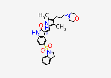 Cc1[nH]c(/C=C2\C(=O)Nc3ccc(S(=O)(=O)N4CCc5ccccc54)cc32)c(C)c1CCCN1CCOCC1